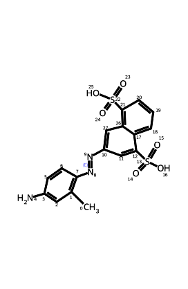 Cc1cc(N)ccc1/N=N/c1cc(S(=O)(=O)O)c2cccc(S(=O)(=O)O)c2c1